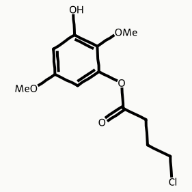 COc1cc(O)c(OC)c(OC(=O)CCCCl)c1